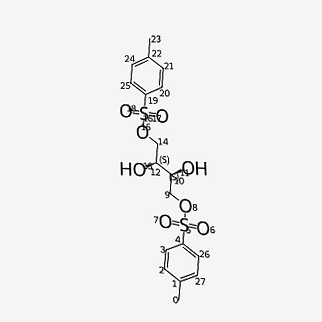 Cc1ccc(S(=O)(=O)OC[C@H](O)[C@@H](O)COS(=O)(=O)c2ccc(C)cc2)cc1